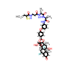 C[C@H](NC(=O)CCNC(=O)C(S)CC(=O)O)C(=O)N[C@@H](C)C(=O)Nc1cccc(Oc2ccc([C@@H]3O[C@@H]4CC5[C@@H]6C[C@H](F)C7=CC(=O)C=C[C@]7(C)[C@@]6(F)[C@@H](O)C[C@]5(C)[C@]4(C(=O)CO)O3)cc2)c1